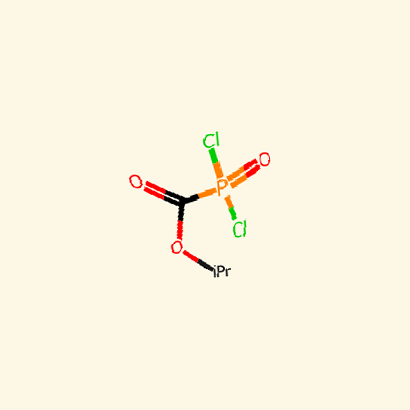 CC(C)OC(=O)P(=O)(Cl)Cl